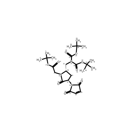 CC(C)(C)OC(=O)CN1C(=O)[C@H](N2C(=O)C=CC2=O)C[C@H]1CN(C(=O)OC(C)(C)C)C(=O)OC(C)(C)C